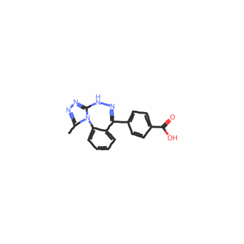 Cc1nnc2n1-c1ccccc1C(c1ccc(C(=O)O)cc1)=NN2